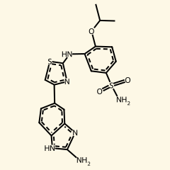 CC(C)Oc1ccc(S(N)(=O)=O)cc1Nc1nc(-c2ccc3[nH]c(N)nc3c2)cs1